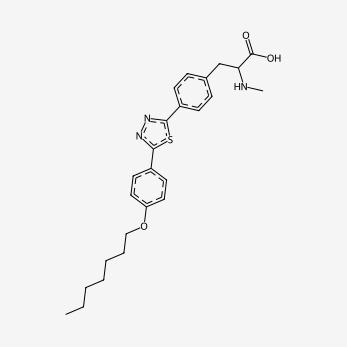 CCCCCCCOc1ccc(-c2nnc(-c3ccc(CC(NC)C(=O)O)cc3)s2)cc1